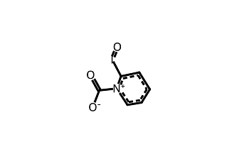 O=Ic1cccc[n+]1C(=O)[O-]